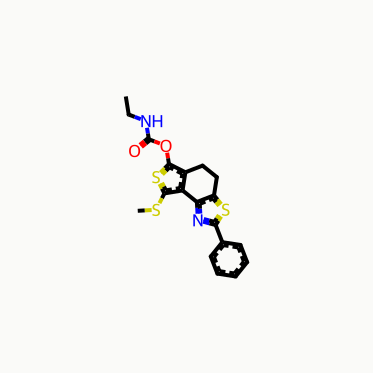 CCNC(=O)Oc1sc(SC)c2c1CCc1sc(-c3ccccc3)nc1-2